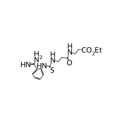 CCOC(=O)CCNC(=O)CCNC(=S)Nc1ccccc1C(=N)N